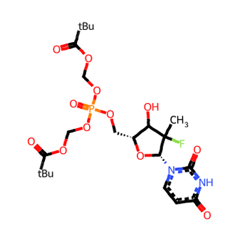 CC(C)(C)C(=O)OCOP(=O)(OCOC(=O)C(C)(C)C)OC[C@H]1O[C@@H](n2ccc(=O)[nH]c2=O)C(C)(F)C1O